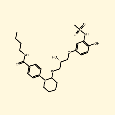 CCCCNC(=O)c1ccc(N2CCCCC2NC[C@H](O)COc2ccc(O)c(NS(C)(=O)=O)c2)cc1